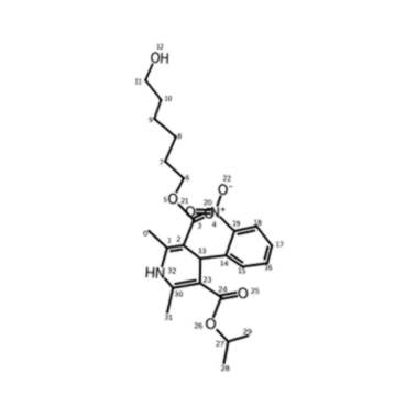 CC1=C(C(=O)OCCCCCCO)C(c2ccccc2[N+](=O)[O-])C(C(=O)OC(C)C)=C(C)N1